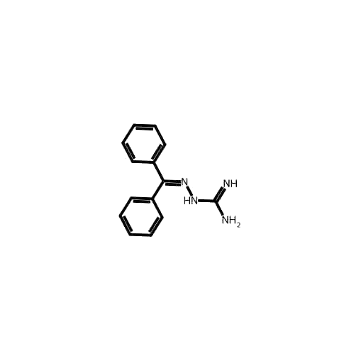 N=C(N)NN=C(c1ccccc1)c1ccccc1